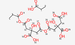 CCC(=O)O.CCC(=O)OC(=O)CC(O)(CC(=O)OC(=O)CC(O)(CC(=O)O)C(=O)O)C(=O)O